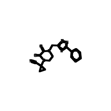 N#CC1(N2CCN(Cc3nnc(-c4ccccc4)s3)C(=O)C2=O)CC1